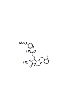 COc1ccnc(NC(=O)CC[C@@H]2/C(=C/O)C(=O)[C@@]3(C)CCC4c5cccc(F)c5CCC4C23)c1